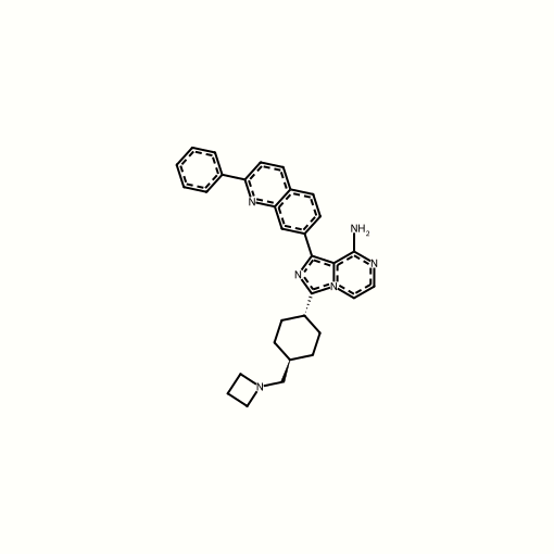 Nc1nccn2c1c(-c1ccc3ccc(-c4ccccc4)nc3c1)nc2[C@H]1CC[C@H](CN2CCC2)CC1